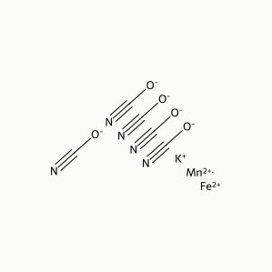 N#C[O-].N#C[O-].N#C[O-].N#C[O-].N#C[O-].[Fe+2].[K+].[Mn+2]